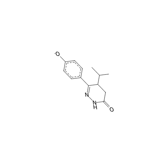 CC(C)C1CC(=O)NN=C1c1ccc([O])cc1